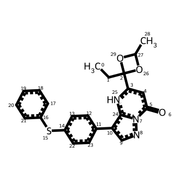 CCC1(c2cc(=O)n3ncc(-c4ccc(Sc5ccccc5)cc4)c3[nH]2)OC(C)O1